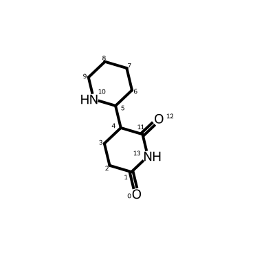 O=C1CCC(C2CCCCN2)C(=O)N1